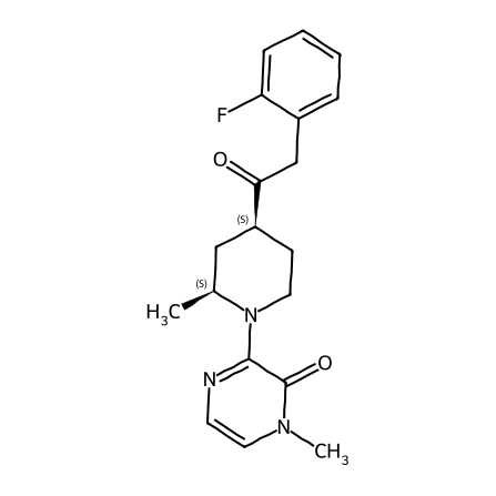 C[C@H]1C[C@@H](C(=O)Cc2ccccc2F)CCN1c1nccn(C)c1=O